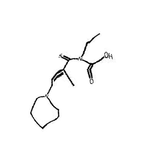 CCN(C(=O)O)C(=S)/C(C)=C/N1CCCCC1